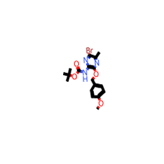 COc1ccc(COc2nc(C)c(Br)nc2NC(=O)OC(C)(C)C)cc1